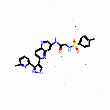 Cc1ccc(S(=O)(=O)NCC(=O)Nc2cnc3ccc(-c4c[nH]nc4-c4cccc(C)n4)nc3c2)cc1